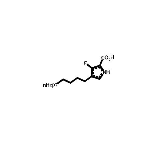 CCCCCCCCCCCc1c[nH]c(C(=O)O)c1F